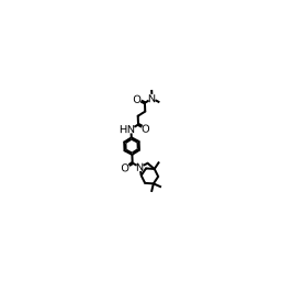 CN(C)C(=O)CCC(=O)Nc1ccc(C(=O)N2CC3(C)CC2CC(C)(C)C3)cc1